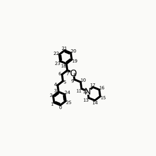 c1ccc(CCCC(OCCCN2CCCCC2)c2ccccc2)cc1